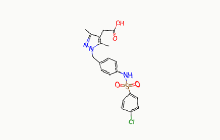 Cc1nn(Cc2ccc(NS(=O)(=O)c3ccc(Cl)cc3)cc2)c(C)c1CC(=O)O